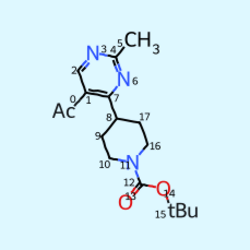 CC(=O)c1cnc(C)nc1C1CCN(C(=O)OC(C)(C)C)CC1